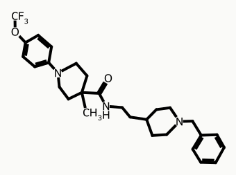 CC1(C(=O)NCCC2CCN(Cc3ccccc3)CC2)CCN(c2ccc(OC(F)(F)F)cc2)CC1